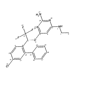 CCNc1cc(O[C@H](c2ccc(Cl)cc2-c2ccccc2)C(F)(F)F)nc(N)n1